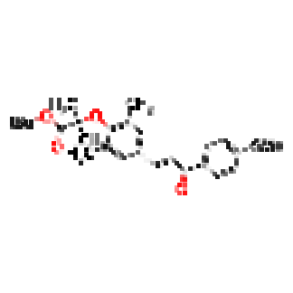 CSc1ccc(C(=O)/C=C/c2cc(C)c(OC(C)(C)C(=O)OC(C)(C)C)c(C)c2)cc1